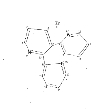 [Zn].c1ccc(-c2cccnc2-c2ccccn2)nc1